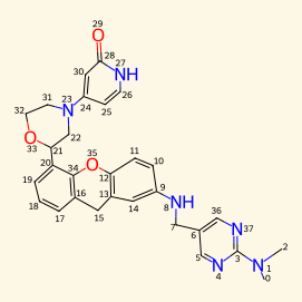 CN(C)c1ncc(CNc2ccc3c(c2)Cc2cccc(C4CN(c5cc[nH]c(=O)c5)CCO4)c2O3)cn1